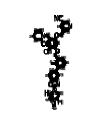 Cc1c(COc2cc(OCc3cncc(C#N)c3)c(CN3CCCCC3C(=O)O)cc2Cl)cccc1-c1ccc2oc(N3C[C@@H]4C[C@H]3CN4C)nc2c1